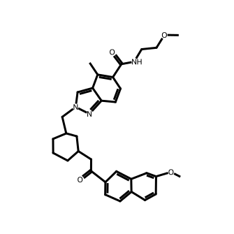 COCCNC(=O)c1ccc2nn(CC3CCCC(CC(=O)c4ccc5ccc(OC)cc5c4)C3)cc2c1C